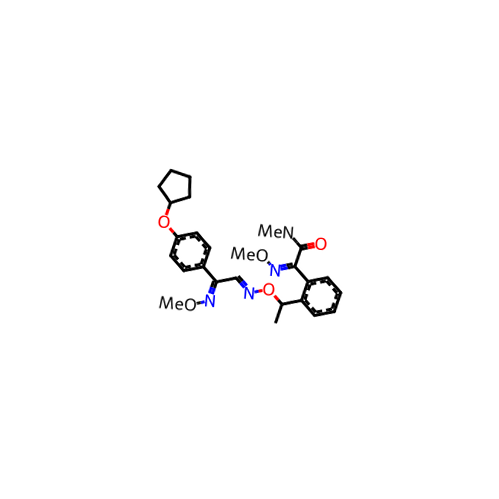 CNC(=O)C(=NOC)c1ccccc1C(C)ON=CC(=NOC)c1ccc(OC2CCCC2)cc1